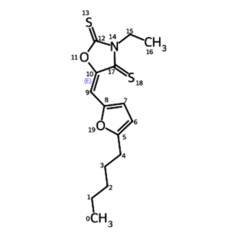 CCCCCc1ccc(/C=C2/OC(=S)N(CC)C2=S)o1